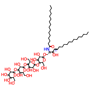 CCCCCCCCCCCCC/C=C/[C@@H](O)[C@H](CO[C@@H]1OC(CO)[C@@H](O[C@@H]2OC(CO)[C@H](O[C@@H]3OC(CO)[C@H](O)[C@H](O[C@@H]4OC(CO)[C@H](O)[C@H](O)C4O)C3O)[C@H](O)C2O)[C@H](O)C1O)NC(=O)CCCCCCCCCCCCCCC